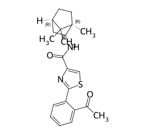 CC(=O)c1ccccc1-c1nc(C(=O)N[C@@H]2C[C@H]3CC[C@]2(C)C3(C)C)cs1